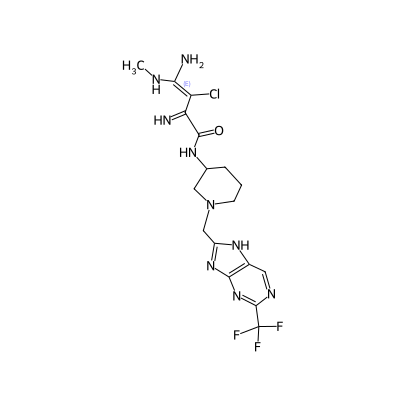 CN/C(N)=C(/Cl)C(=N)C(=O)NC1CCCN(Cc2nc3nc(C(F)(F)F)ncc3[nH]2)C1